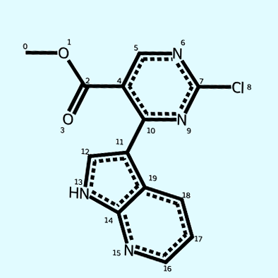 COC(=O)c1cnc(Cl)nc1-c1c[nH]c2ncccc12